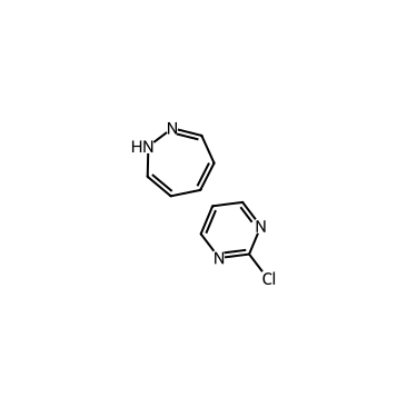 C1=CC=NNC=C1.Clc1ncccn1